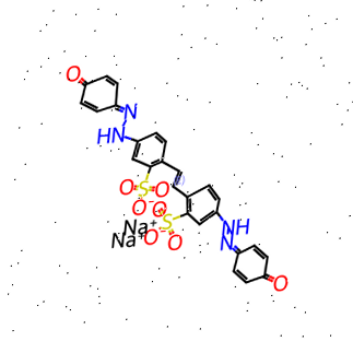 O=C1C=CC(=NNc2ccc(/C=C/c3ccc(NN=C4C=CC(=O)C=C4)cc3S(=O)(=O)[O-])c(S(=O)(=O)[O-])c2)C=C1.[Na+].[Na+]